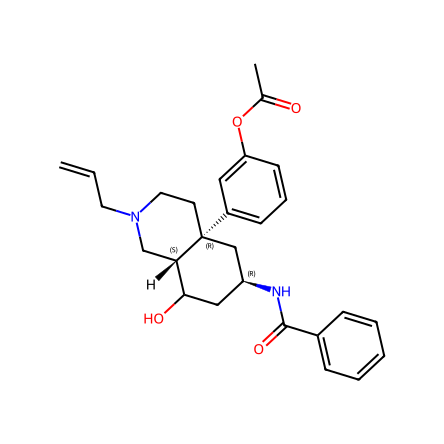 C=CCN1CC[C@@]2(c3cccc(OC(C)=O)c3)C[C@@H](NC(=O)c3ccccc3)CC(O)[C@@H]2C1